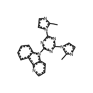 Cc1nccn1-c1nc(-n2ccnc2C)nc(-n2c3ccccc3c3ncccc32)n1